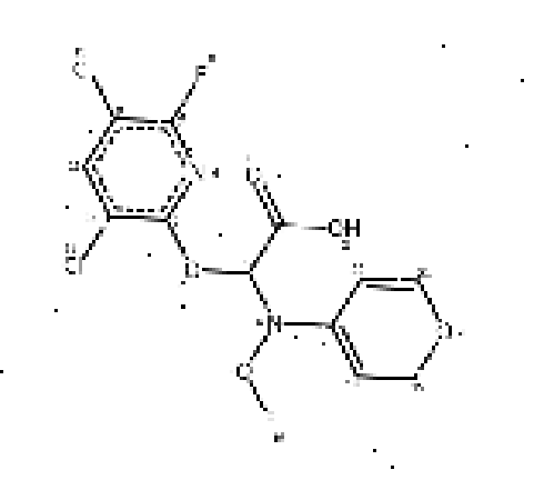 O=C(O)C(Oc1nc(F)c(Cl)cc1Cl)N(OF)C1=CCOC=C1